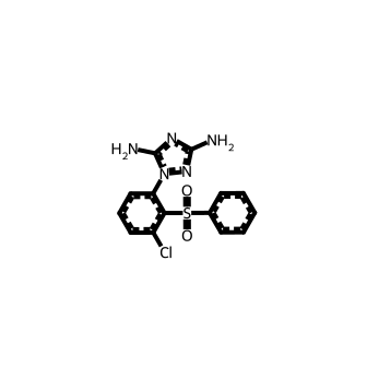 Nc1nc(N)n(-c2cccc(Cl)c2S(=O)(=O)c2ccccc2)n1